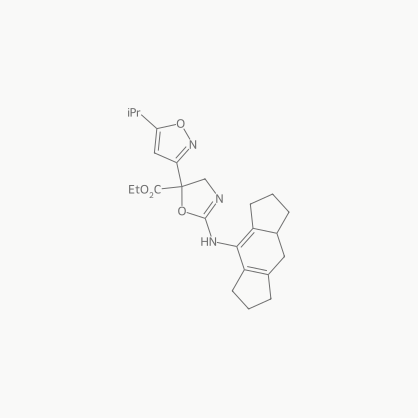 CCOC(=O)C1(c2cc(C(C)C)on2)CN=C(NC2=C3CCCC3CC3=C2CCC3)O1